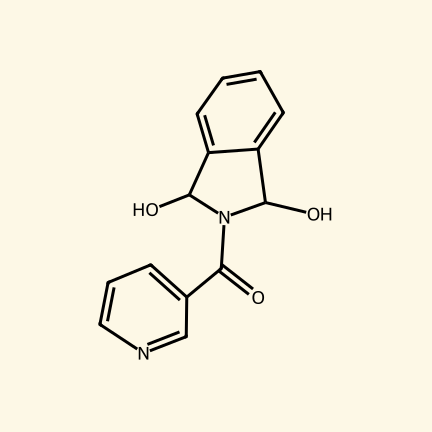 O=C(c1cccnc1)N1C(O)c2ccccc2C1O